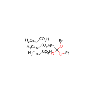 C=CC(=O)O.C=CC(=O)O.C=CC(=O)O.CCOC(CC)(OCC)OCC